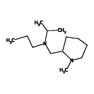 CCCN(CC1CCCCN1C)C(C)C